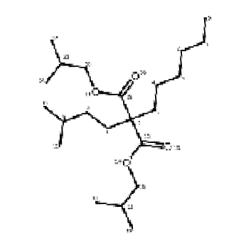 CCCCCCC(CCC(C)C)(C(=O)OCC(C)C)C(=O)OCC(C)C